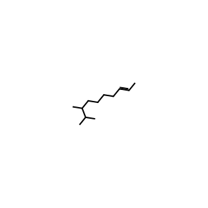 C/C=C/CCCCC(C)C(C)C